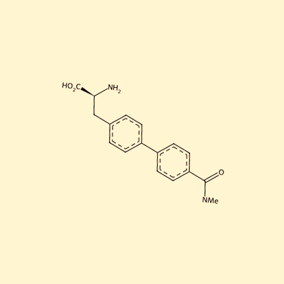 CNC(=O)c1ccc(-c2ccc(C[C@H](N)C(=O)O)cc2)cc1